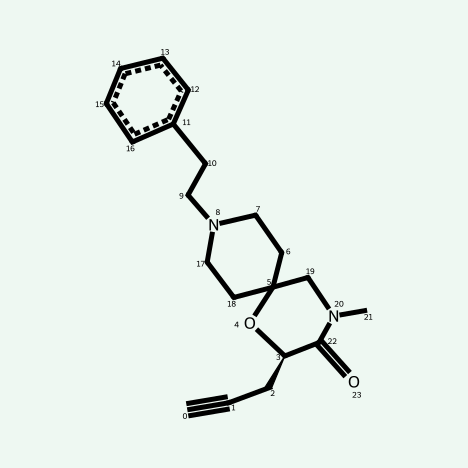 C#CC[C@H]1OC2(CCN(CCc3ccccc3)CC2)CN(C)C1=O